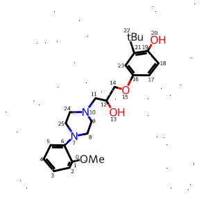 COc1ccccc1N1CCN(CC(O)COc2ccc(O)c(C(C)(C)C)c2)CC1